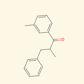 Cc1cccc(C(=O)C(C)Cc2ccccc2)c1